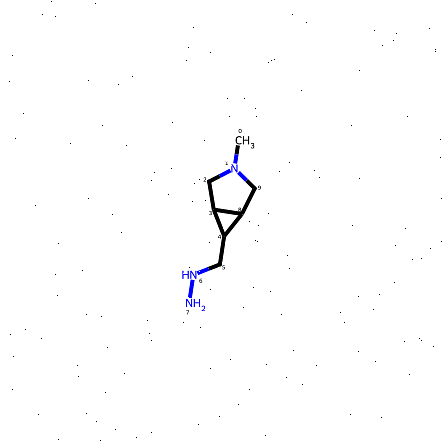 CN1CC2C(CNN)C2C1